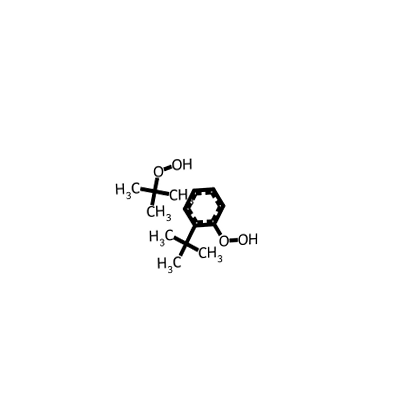 CC(C)(C)OO.CC(C)(C)c1ccccc1OO